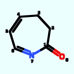 O=C1CCC=CC=N1